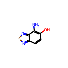 Nc1c(O)ccc2nsnc12